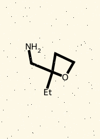 CCC1(CN)CCO1